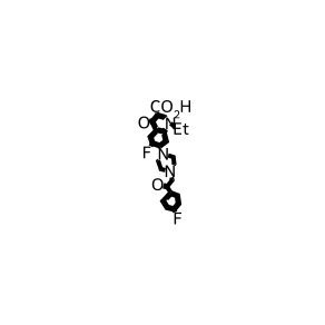 CCn1cc(C(=O)O)c(=O)c2cc(F)c(N3CCN(CC(=O)c4ccc(F)cc4)CC3)cc21